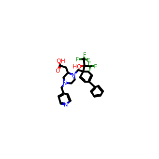 O=C(O)CC1CN(Cc2ccncc2)CCN1CC1(C(O)(C(F)(F)F)C(F)(F)F)C=CC(c2ccccc2)=CC1